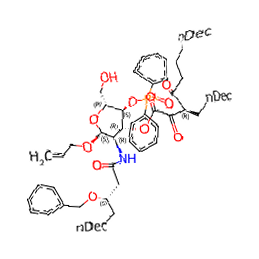 C=CCO[C@H]1O[C@H](CO)[C@@H](OP(=O)(c2ccccc2)c2ccccc2)[C@H](OC(=O)C(=O)[C@H](CCCCCCCCCCC)C(=O)CCCCCCCCCCCCC)[C@H]1NC(=O)C[C@H](CCCCCCCCCCC)OCc1ccccc1